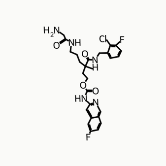 CC(CCCNC(=O)CN)(CCOC(=O)Nc1cc2cc(F)ccc2cn1)C(=O)NCc1cccc(F)c1Cl